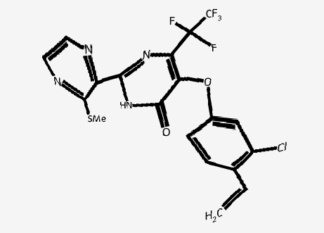 C=Cc1ccc(Oc2c(C(F)(F)C(F)(F)F)nc(-c3nccnc3SC)[nH]c2=O)cc1Cl